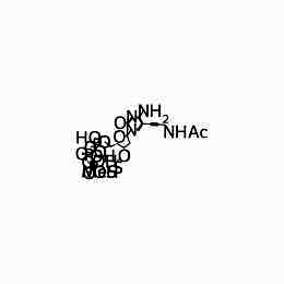 CSSCO[C@H]1C[C@H](n2cc(C#CCNC(C)=O)c(N)nc2=O)O[C@@H]1COP(=O)(O)OP(=O)(O)OP(=O)(O)O